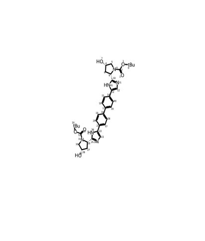 CC(C)(C)OC(=O)N1C[C@@H](O)C[C@H]1c1ncc(-c2ccc(-c3ccc(-c4cnc([C@@H]5C[C@H](O)CN5C(=O)OC(C)(C)C)[nH]4)cc3)cc2)[nH]1